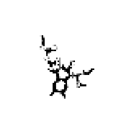 CCOC(=O)Oc1nc2c3cc(C)c(C)cc3n(C(OC)OCC)c(=O)n2n1